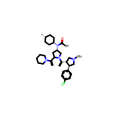 C=C(C1C[C@H](N(C(=O)C(C)C)[C@H]2CC[C@@H](C)CC2)CN1C(=C)[C@@H]1CN(C(C)(C)C)C[C@H]1c1ccc(Cl)cc1)N1CCCCC1